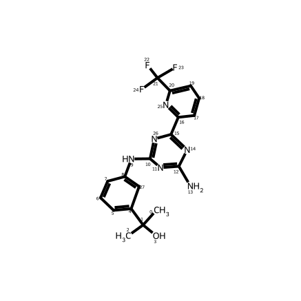 CC(C)(O)c1cccc(Nc2nc(N)nc(-c3cccc(C(F)(F)F)n3)n2)c1